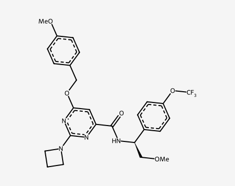 COC[C@@H](NC(=O)c1cc(OCc2ccc(OC)cc2)nc(N2CCC2)n1)c1ccc(OC(F)(F)F)cc1